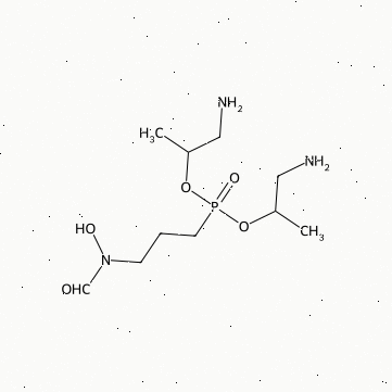 CC(CN)OP(=O)(CCCN(O)C=O)OC(C)CN